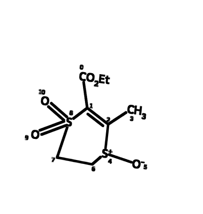 CCOC(=O)C1=C(C)[S+]([O-])CCS1(=O)=O